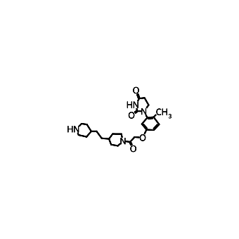 Cc1ccc(OCC(=O)N2CCC(CCC3CCNCC3)CC2)cc1N1CCC(=O)NC1=O